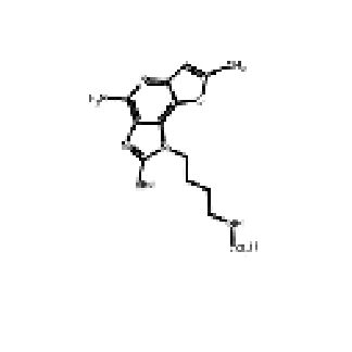 CCCCc1nc2c(N)nc3cc(C)sc3c2n1CCCCNC(=O)O